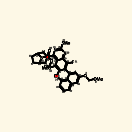 COCOc1cc(-c2c(Cl)c(OC)c3c(N4CC5CCC(C4)N5C(=O)OC(C)(C)C)nc(SC)nc3c2F)c2c(F)cccc2c1